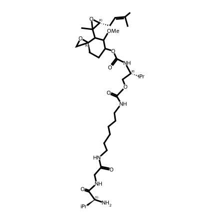 COC1C(OC(=O)N[C@@H](COC(=O)NCCCCCCNC(=O)CNC(=O)[C@@H](N)C(C)C)C(C)C)CC[C@]2(CO2)C1C1(C)O[C@@H]1CC=C(C)C